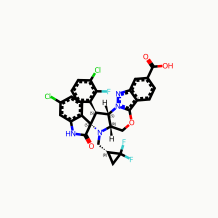 O=C(O)c1ccc2c3n(nc2c1)[C@@H]1[C@H](CO3)N(C[C@H]2CC2(F)F)[C@@]2(C(=O)Nc3cc(Cl)ccc32)[C@H]1c1cccc(Cl)c1F